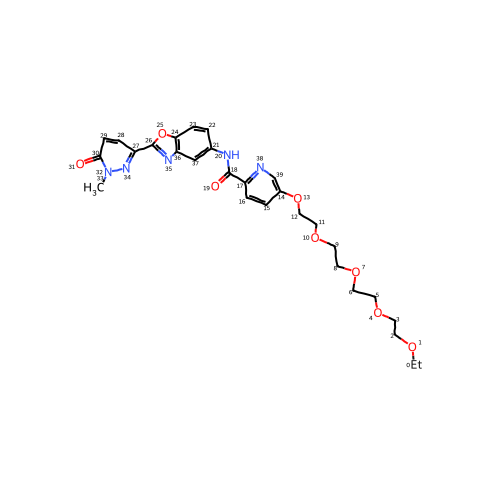 CCOCCOCCOCCOCCOc1ccc(C(=O)Nc2ccc3oc(-c4ccc(=O)n(C)n4)nc3c2)nc1